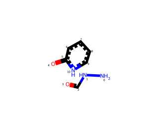 NNC=O.O=c1cccc[nH]1